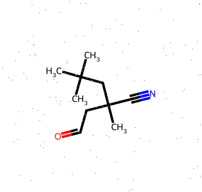 CC(C)(C)CC(C)(C#N)CC=O